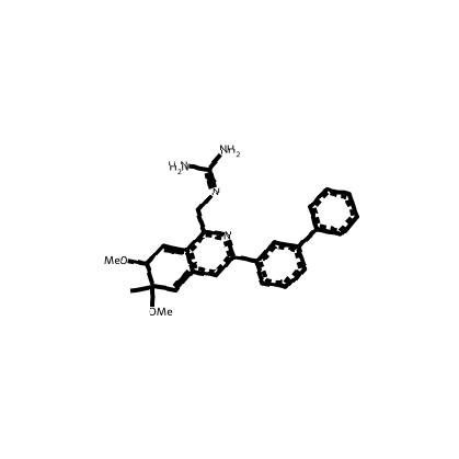 COC1C=c2c(CN=C(N)N)nc(-c3cccc(-c4ccccc4)c3)cc2=CC1(C)OC